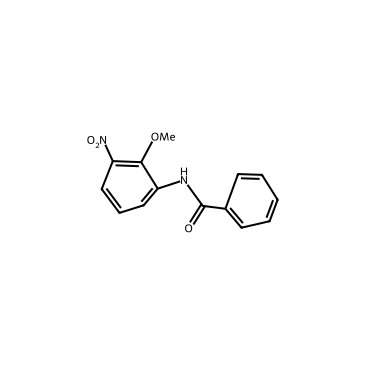 COc1c(NC(=O)c2ccccc2)cccc1[N+](=O)[O-]